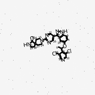 CC(Oc1ccc2[nH]nc(-c3cnc(N4CCC5(CCNC5=O)CC4)nc3)c2c1)c1c(Cl)cncc1Cl